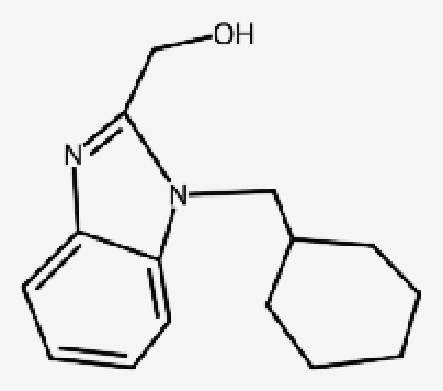 OCc1nc2ccccc2n1CC1CCCCC1